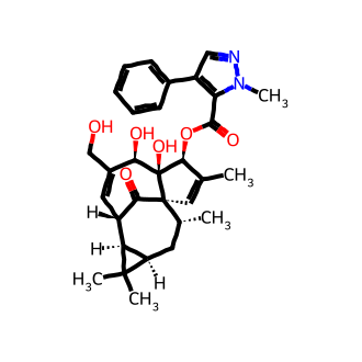 CC1=C[C@]23C(=O)[C@@H](C=C(CO)[C@@H](O)[C@]2(O)[C@H]1OC(=O)c1c(-c2ccccc2)cnn1C)[C@H]1[C@@H](C[C@H]3C)C1(C)C